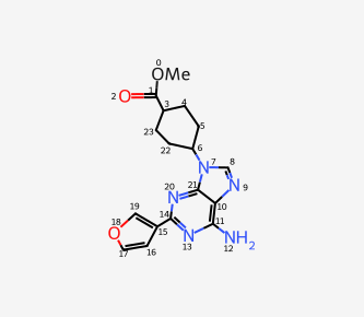 COC(=O)C1CCC(n2cnc3c(N)nc(-c4ccoc4)nc32)CC1